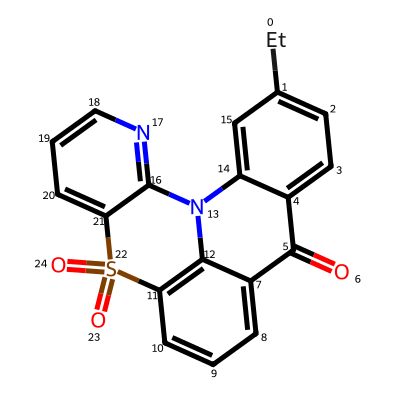 CCc1ccc2c(=O)c3cccc4c3n(c2c1)-c1ncccc1S4(=O)=O